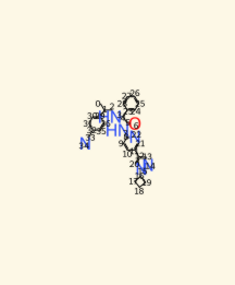 CC(CNC(C(=O)Nc1ccc(-c2cnn(C3CCC3)c2)cn1)c1ccccc1)C1=CCC(C#N)C=C1